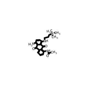 CC(=O)Nc1cccc2c1C(=O)c1c(NCCC[N+](C)(C)C)ccc(N)c1C2=O